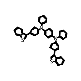 c1ccc(N(c2ccc(-c3csc4ccccc34)cc2)c2ccc(N(c3ccccc3)c3ccc(-c4csc5ccccc45)cc3)cc2)cc1